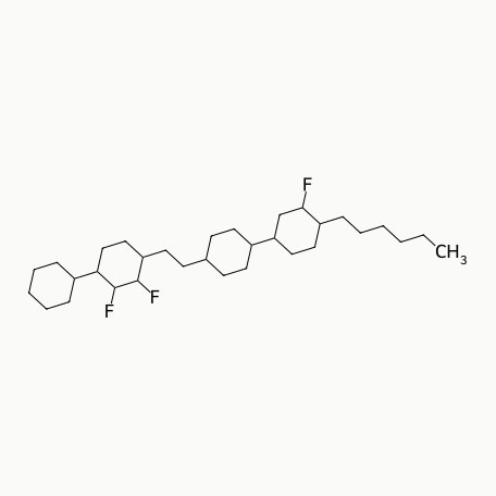 CCCCCCC1CCC(C2CCC(CCC3CCC(C4CCCCC4)C(F)C3F)CC2)CC1F